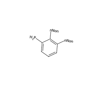 CCCCCCCCCc1cccc(P)c1CCCCCCCCC